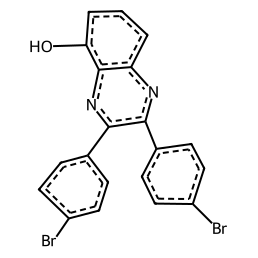 Oc1cccc2nc(-c3ccc(Br)cc3)c(-c3ccc(Br)cc3)nc12